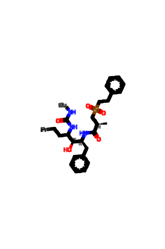 CC(C)CCC(NC(=O)NC(C)(C)C)[C@H](O)[C@H](Cc1ccccc1)NC(=O)[C@@H](C)CS(=O)(=O)CCc1ccccc1